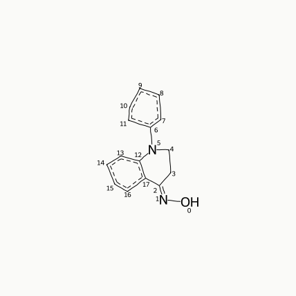 ON=C1CCN(c2ccccc2)c2ccccc21